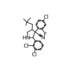 CC(C)(C)CC1CNC(c2cccc(Cl)c2Cl)C1(C#N)c1ccc(Cl)cc1F